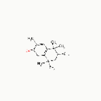 CC1=CC2=C(CC1=O)C(C)(C)CC(C)C2(C)C